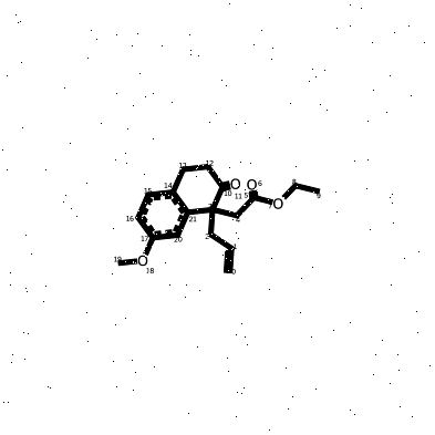 C=CCC1(CC(=O)OCC)C(=O)CCc2ccc(OC)cc21